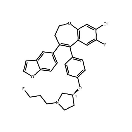 Oc1cc2c(cc1F)C(c1ccc(O[C@H]3CCN(CCCF)C3)cc1)=C(c1ccc3occc3c1)CCO2